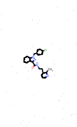 Cc1ncccc1CCNC(=O)c1nn(Cc2ccc(Cl)cc2)c2ccccc12